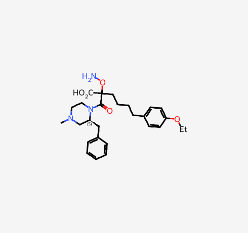 CCOc1ccc(CCCCC(ON)(C(=O)O)C(=O)N2CCN(C)C[C@@H]2Cc2ccccc2)cc1